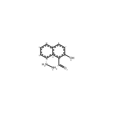 NN.O=Cc1c(O)ccc2ccccc12